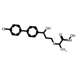 CC(SCCC(O)c1ccc(-c2ccc(Cl)cc2)cc1)C(=O)NO